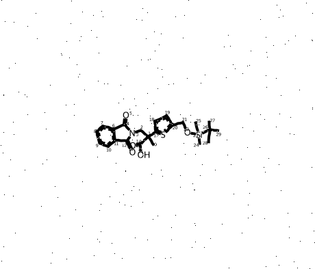 CC(CN1C(=O)c2ccccc2C1=O)(C(=O)O)c1ccc(CO[Si](C)(C)C(C)(C)C)s1